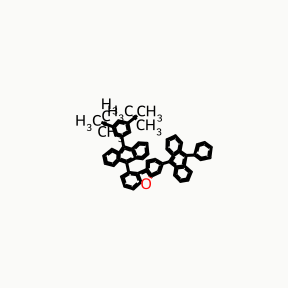 CC(C)(C)c1cc(-c2c3ccccc3c(-c3cccc4oc5cc(-c6c7ccccc7c(-c7ccccc7)c7ccccc67)ccc5c34)c3ccccc23)cc(C(C)(C)C)c1